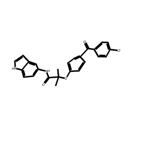 CC(C)(Oc1ccc(C(=O)c2ccc(Cl)cc2)cc1)C(=O)Nc1ccc2[nH]ccc2c1